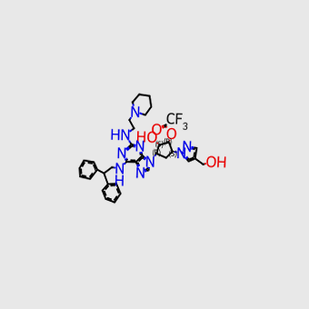 O=C(O[C@H]1[C@@H](O)[C@H](n2cnc3c(NCC(c4ccccc4)c4ccccc4)nc(NCCN4CCCCC4)nc32)C[C@@H]1n1cc(CO)cn1)C(F)(F)F